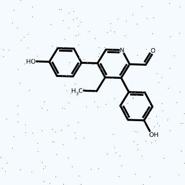 CCc1c(-c2ccc(O)cc2)cnc(C=O)c1-c1ccc(O)cc1